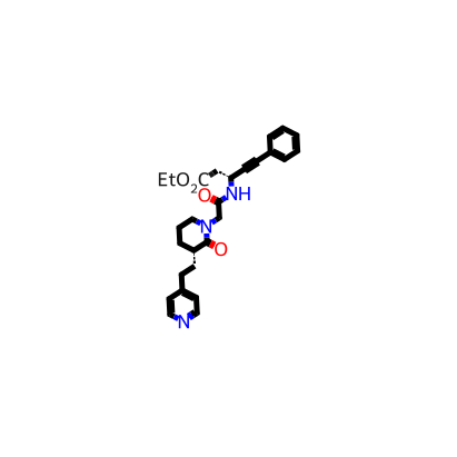 CCOC(=O)C[C@H](C#Cc1ccccc1)NC(=O)CN1CCC[C@@H](CCc2ccncc2)C1=O